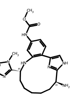 COC(=O)Nc1ccc2c(c1)N[C@@H](c1nccn1C)CCCCC[C@H](N)c1nc-2c[nH]1